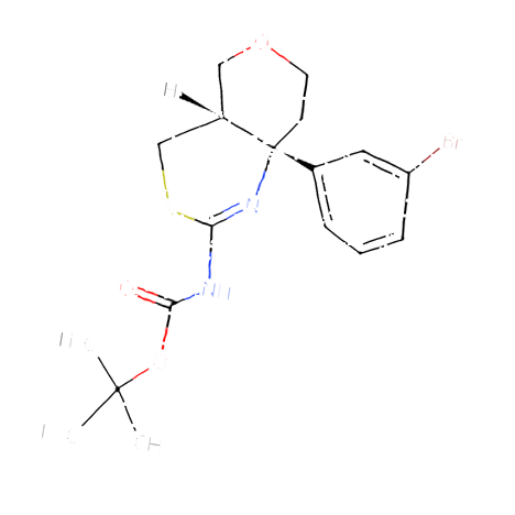 CC(C)(C)OC(=O)NC1=N[C@@]2(c3cccc(Br)c3)CCOC[C@H]2CS1